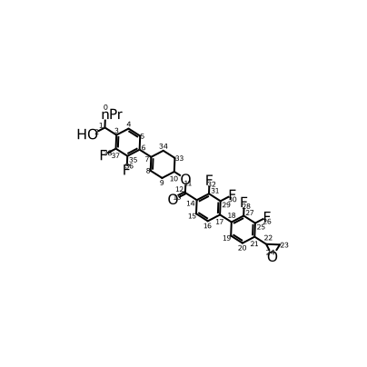 CCCC(O)c1ccc(C2=CCC(OC(=O)c3ccc(-c4ccc(C5CO5)c(F)c4F)c(F)c3F)CC2)c(F)c1F